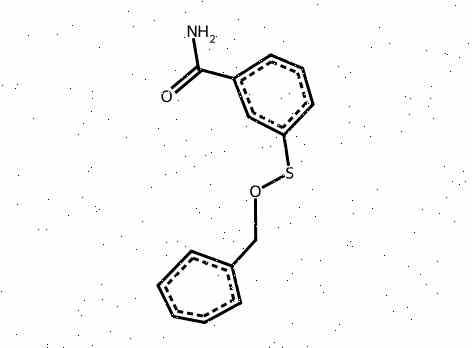 NC(=O)c1cccc(SOCc2ccccc2)c1